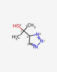 CC(C)(O)[C]1C=NN=N1